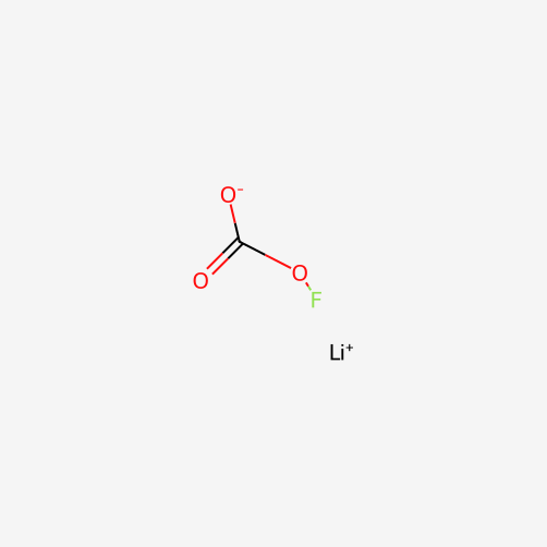 O=C([O-])OF.[Li+]